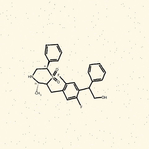 C[C@@H]1NC[C@@H](c2ccccc2)S(=O)(=O)C1Cc1cc(F)c(C(CO)c2ccccc2)cc1F